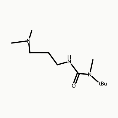 CN(C)CCCNC(=O)N(C)C(C)(C)C